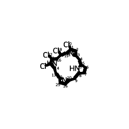 ClC1=Cc2cc3ccc(cc4nc(cc5[nH]c(c(Cl)c1n2)c(Cl)c5Cl)C=C4)[nH]3